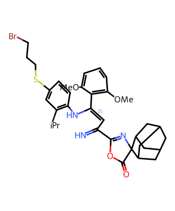 COc1cccc(OC)c1/C(=C/C(=N)C1=NC2(C(=O)O1)C1CC3CC(C1)CC2C3)Nc1ccc(SCCCBr)cc1C(C)C